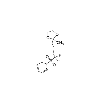 CC1(CCCC(F)(F)S(=O)(=O)C2CC=CC=N2)OCCO1